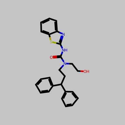 O=C(Nc1nc2ccccc2s1)N(CCO)CCC(c1ccccc1)c1ccccc1